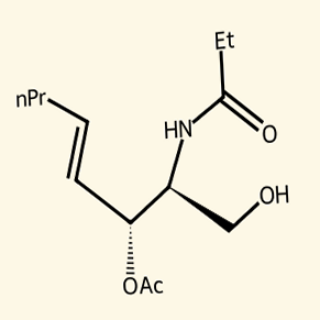 CCC/C=C/[C@@H](OC(C)=O)[C@H](CO)NC(=O)CC